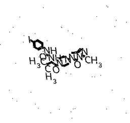 Cc1ncc2n1C(=O)N(N1CCN(C(=O)[C@H](NC(=O)Nc3ccc(I)cc3)C(C)C)CC1)C2